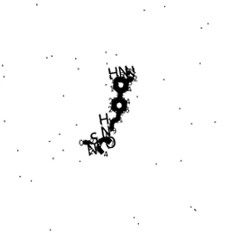 CC1=NC(C)C(C(=O)NCCCc2ccc(-c3ccc4[nH]ncc4c3)cc2)S1